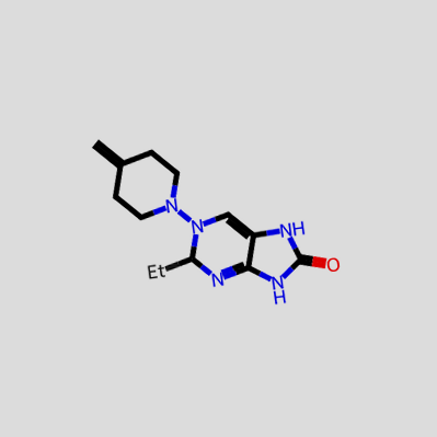 C=C1CCN(N2C=c3[nH]c(=O)[nH]c3=NC2CC)CC1